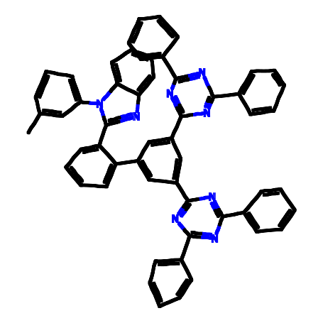 Cc1cccc(-n2c(-c3ccccc3-c3cc(-c4nc(-c5ccccc5)nc(-c5ccccc5)n4)cc(-c4nc(-c5ccccc5)nc(-c5ccccc5)n4)c3)nc3ccccc32)c1